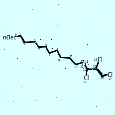 CCCCCCCCCCCCCCCCCCCCPC(Cl)C(Cl)=CCl